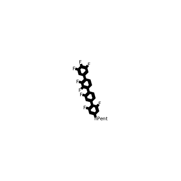 CCCCCc1cc(F)c(-c2ccc(-c3ccc(-c4cc(F)c(F)c(F)c4)c(F)c3F)c(F)c2)c(F)c1